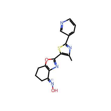 Cc1nc(-c2cccnc2)sc1-c1nc2c(o1)CCC/C2=N\O